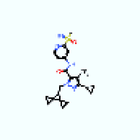 CS(=N)(=O)c1cc(NC(=O)c2c(C(F)(F)F)c(C3CC3)nn2CC2C3(CC3)C23CC3)ccn1